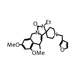 CCN1C(=O)N2Cc3cc(OC)cc(OC)c3C(C)C=C2C12CCN(Cc1ccoc1)CC2